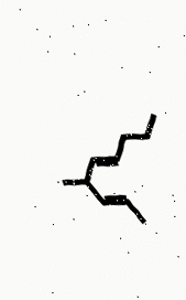 [CH2]C(C=CC)C=CCCC